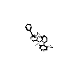 COc1cncc(OC)c1C1CCCC(=O)N1Cc1csc(-c2ccccc2)n1